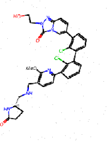 COc1nc(-c2cccc(-c3cccc(-c4ccc5nn(CCO)c(=O)n5c4)c3Cl)c2Cl)ccc1CNC[C@@H]1CCC(=O)N1